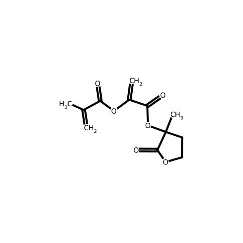 C=C(C)C(=O)OC(=C)C(=O)OC1(C)CCOC1=O